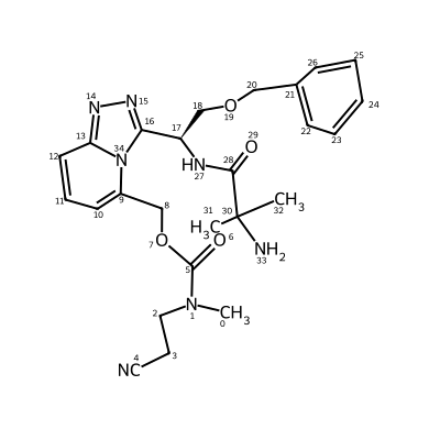 CN(CCC#N)C(=O)OCc1cccc2nnc([C@@H](COCc3ccccc3)NC(=O)C(C)(C)N)n12